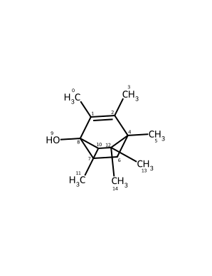 CC1=C(C)C2(C)CCC1(O)C(C)C2(C)C